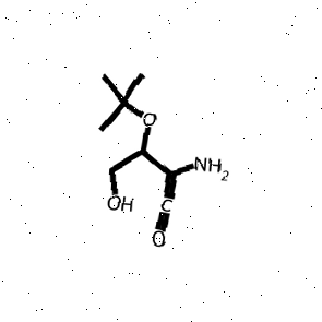 CC(C)(C)OC(CO)C(N)=C=O